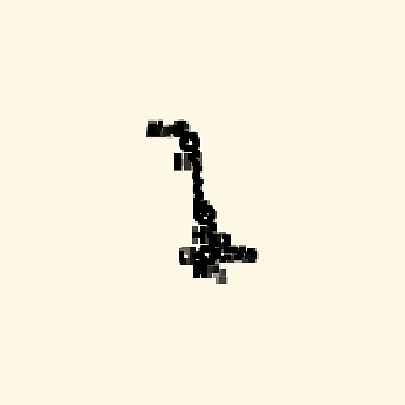 COc1ccc(CNCCCCCCN2CCC(CNC(=O)c3cc(Cl)c(N)cc3OC)CC2)cc1